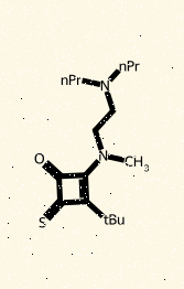 CCCN(CCC)CCN(C)c1c(C(C)(C)C)c(=S)c1=O